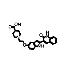 O=C(O)C1CCN(CCOc2ccc3[nH]c(-c4cc5ccccc5[nH]c4=O)cc3c2)CC1